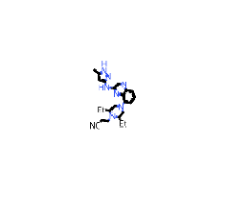 CCC1CN(c2cccc3ncc(Nc4cc(C)[nH]n4)nc23)CC(CC)N1CCC#N